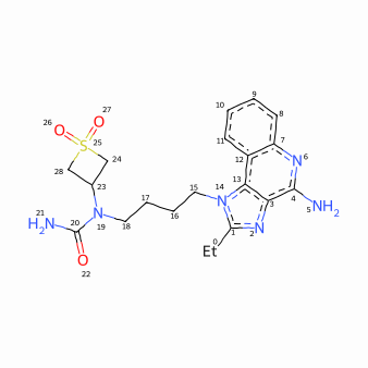 CCc1nc2c(N)nc3ccccc3c2n1CCCCN(C(N)=O)C1CS(=O)(=O)C1